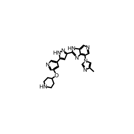 Cc1cn(-c2cncc3[nH]c(-c4cc(-c5cncc(OC6CCNCC6)c5)[nH]n4)nc23)cn1